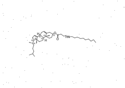 CCCCCCCCCCNCCCC(=O)O[C@H]1CC[C@@]2(C)C(=CC[C@H]3C4=CC[C@H]([C@H](C)CCCC(C)C)[C@@]4(C)CC[C@@H]32)C1